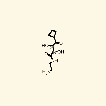 NCCNC(=O)[C@H](O)[C@@H](O)C(=O)C1CCC1